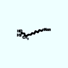 CCCCCCCCCCCCCCCCCCC(C)CC(O)S